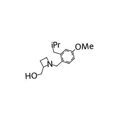 COc1ccc(CN2CCC2CO)c(CC(C)C)c1